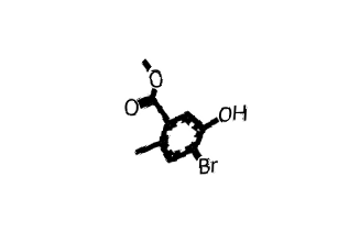 COC(=O)c1cc(O)c(Br)cc1C